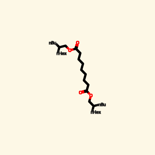 CCCCCCC(CCCC)COC(=O)CCCCCCCC(=O)OCC(CCCC)CCCCCC